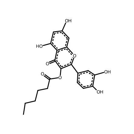 CCCCCC(=O)Oc1c(-c2ccc(O)c(O)c2)oc2cc(O)cc(O)c2c1=O